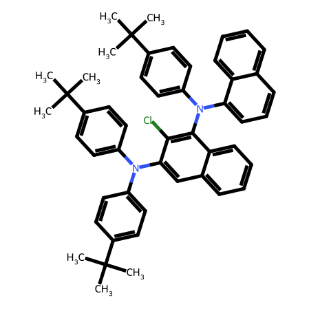 CC(C)(C)c1ccc(N(c2ccc(C(C)(C)C)cc2)c2cc3ccccc3c(N(c3ccc(C(C)(C)C)cc3)c3cccc4ccccc34)c2Cl)cc1